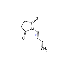 C=C/C=[C]/N1C(=O)CCC1=O